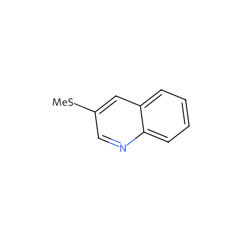 CSc1cnc2ccccc2c1